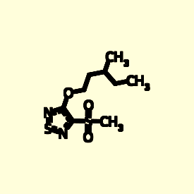 CCC(C)CCOc1nsnc1S(C)(=O)=O